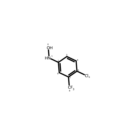 ONc1ccc(Cl)c(C(F)(F)F)c1